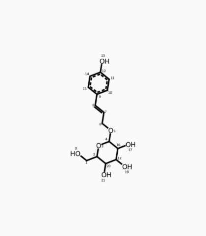 OCC1OC(OCC=Cc2ccc(O)cc2)C(O)C(O)C1O